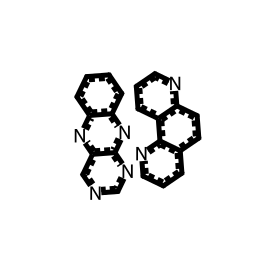 c1ccc2nc3ncncc3nc2c1.c1cnc2c(c1)ccc1ncccc12